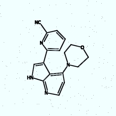 N#Cc1cccc(-c2c[nH]c3nccc(N4CCOCC4)c23)n1